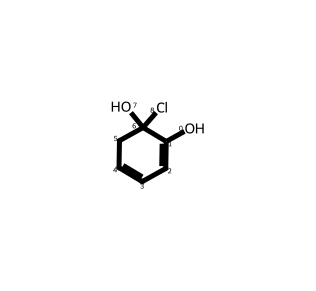 OC1=CC=CCC1(O)Cl